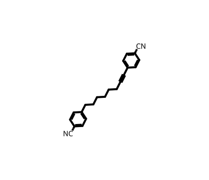 N#Cc1ccc(C#CCCCCCCc2ccc(C#N)cc2)cc1